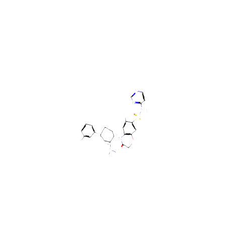 CN(C)[C@H]1C[C@@H](c2cccc(C(F)(F)F)c2)CC[C@@H]1N1C(=O)COc2cc(S(=O)(=O)Nc3ccncn3)c(F)cc21